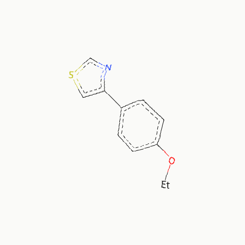 CCOc1ccc(-c2cscn2)cc1